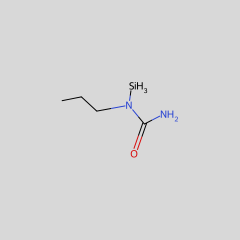 CCCN([SiH3])C(N)=O